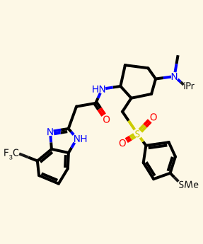 CSc1ccc(S(=O)(=O)CC2CC(N(C)C(C)C)CCC2NC(=O)Cc2nc3c(C(F)(F)F)cccc3[nH]2)cc1